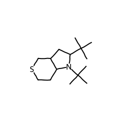 CC(C)(C)C1CC2CSCCC2N1C(C)(C)C